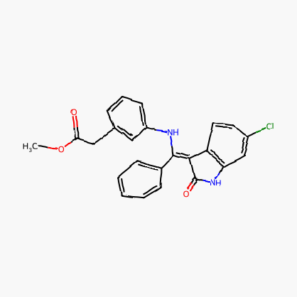 COC(=O)Cc1cccc(NC(=C2C(=O)Nc3cc(Cl)ccc32)c2ccccc2)c1